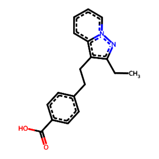 CCc1nn2ccccc2c1CCc1ccc(C(=O)O)cc1